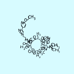 C=C[C@]12OC(=O)N(CCCCn3cnc(-c4ccc(OCC)nc4)c3)[C@@H]1[C@@H](C)C(=O)[C@H](C)C[C@](C)(OC)[C@H](OC1O[C@H](C)C[C@H](N(C)C)[C@H]1O)[C@@H](C)C(=O)[C@@H](C)C(=O)O[C@@H]2CC